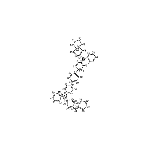 c1ccc(N(c2ccc(-c3ccc(-c4ccc(N(c5ccccc5)c5ccc6sc7ccccc7c6c5)cc4)cc3)cc2)c2ccc3c(c2)CCCC3)cc1